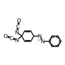 O=C=NC1(N=C=O)C=CC(/N=N/c2ccccc2)C=C1